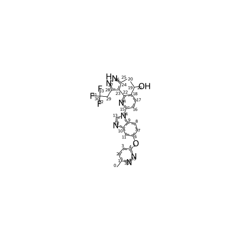 Cc1ccc(Oc2ccc3c(c2)ncn3-c2ccc(C(C)O)c(-c3c(C)n[nH]c3CC(F)(F)F)n2)nn1